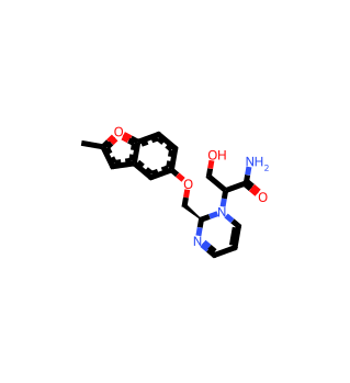 Cc1cc2cc(OC[C@@H]3N=CC=CN3C(CO)C(N)=O)ccc2o1